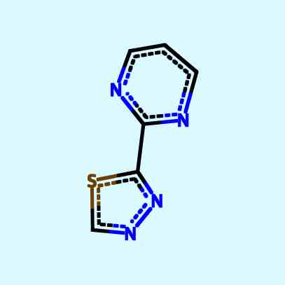 c1cnc(-c2nncs2)nc1